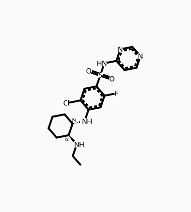 CCN[C@H]1CCCC[C@@H]1Nc1cc(F)c(S(=O)(=O)Nc2ccncn2)cc1Cl